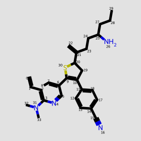 C=C/C=C(/N=C\C(=C/C)C1=C(c2ccc(C#N)cc2)CC(C(=C)CCC(N)CCC)S1)N(C)C